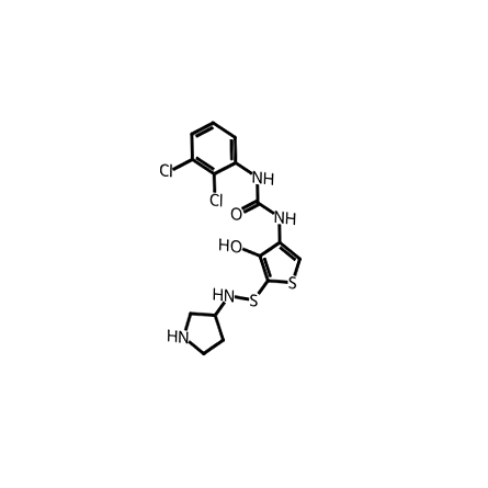 O=C(Nc1csc(SNC2CCNC2)c1O)Nc1cccc(Cl)c1Cl